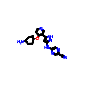 N#Cc1cnc(Nc2cc(-c3cnccc3O[C@H]3CC[C@H](N)CC3)[nH]n2)cn1